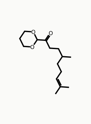 CC(C)=CCCC(C)CCC(=O)C1OCCCO1